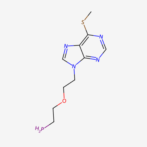 CSc1ncnc2c1ncn2CCOCCP